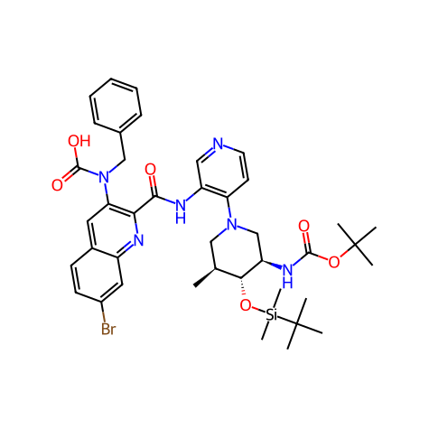 C[C@H]1CN(c2ccncc2NC(=O)c2nc3cc(Br)ccc3cc2N(Cc2ccccc2)C(=O)O)C[C@@H](NC(=O)OC(C)(C)C)[C@@H]1O[Si](C)(C)C(C)(C)C